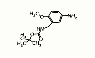 COc1ccc(N)cc1CNC(=O)OC(C)(C)C